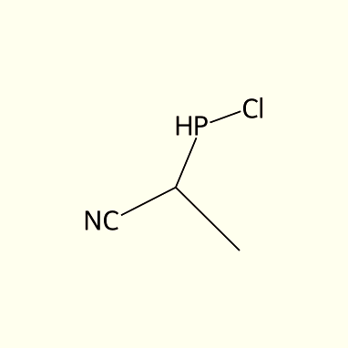 CC(C#N)PCl